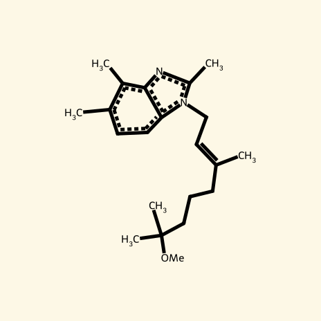 COC(C)(C)CCC/C(C)=C/Cn1c(C)nc2c(C)c(C)ccc21